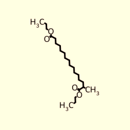 CCCOC(=O)CCCCCCCCCCCCCC(C)C(=O)OCCC